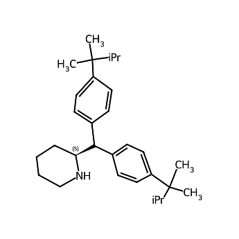 CC(C)C(C)(C)c1ccc(C(c2ccc(C(C)(C)C(C)C)cc2)[C@@H]2CCCCN2)cc1